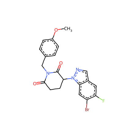 COc1ccc(CN2C(=O)CCC(n3ncc4cc(F)c(Br)cc43)C2=O)cc1